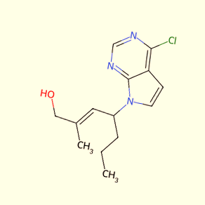 CCCC(/C=C(\C)CO)n1ccc2c(Cl)ncnc21